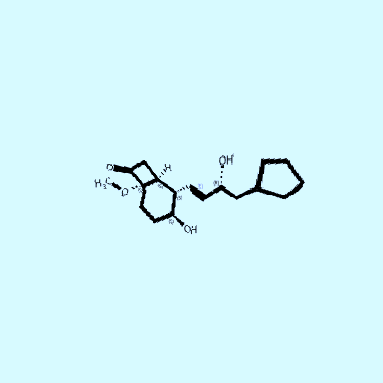 CO[C@@]12CC[C@H](O)[C@@H](/C=C/[C@H](O)CC3CCCC3)[C@@H]1CC2=O